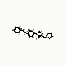 Cc1c(CN2CCCC2)ncn1-c1ccc(OCc2ccccc2)cc1